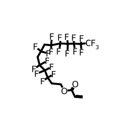 C=CC(=O)OCCC(F)(F)C(F)(F)C(F)(F)CC(F)(F)CC(F)(F)C(F)(F)C(F)(F)C(F)(F)C(F)(F)C(F)(F)F